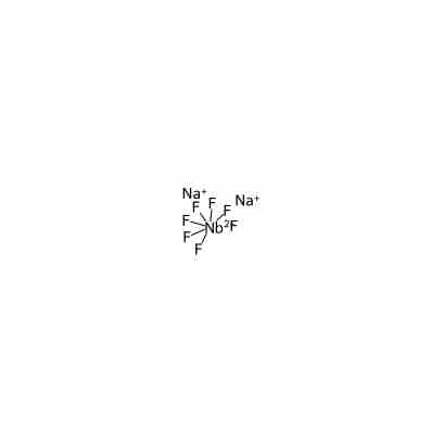 [F][Nb-2]([F])([F])([F])([F])([F])[F].[Na+].[Na+]